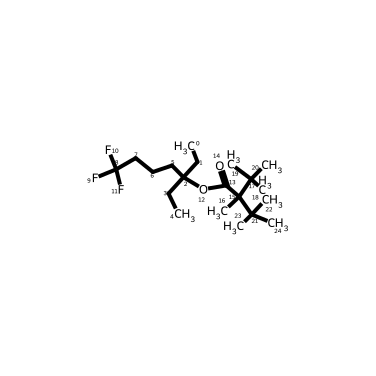 CCC(CC)(CCCC(F)(F)F)OC(=O)C(C)(C(C)(C)C)C(C)(C)C